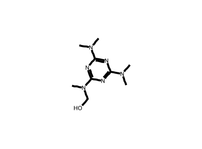 CN(C)c1nc(N(C)C)nc(N(C)CO)n1